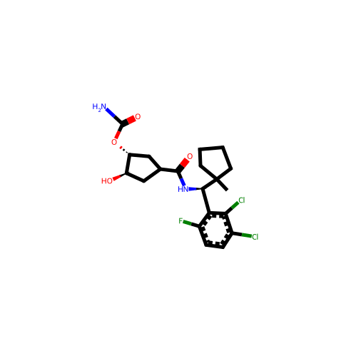 CC1([C@H](NC(=O)C2C[C@@H](O)[C@H](OC(N)=O)C2)c2c(F)ccc(Cl)c2Cl)CCCC1